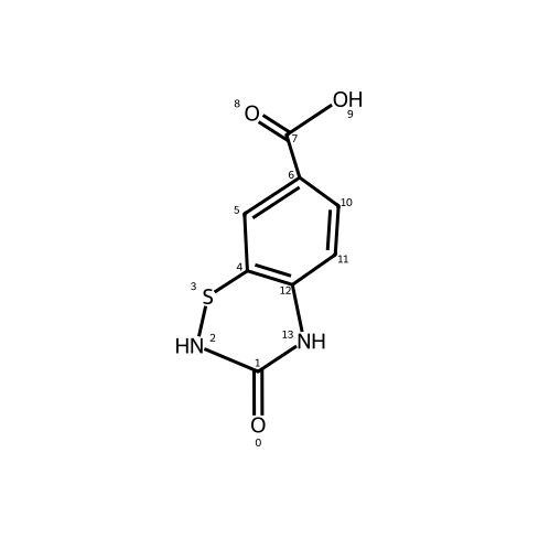 O=C1NSc2cc(C(=O)O)ccc2N1